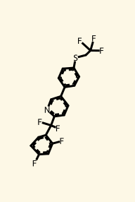 Fc1ccc(C(F)(F)c2ccc(-c3ccc(SCC(F)(F)F)cc3)cn2)c(F)c1